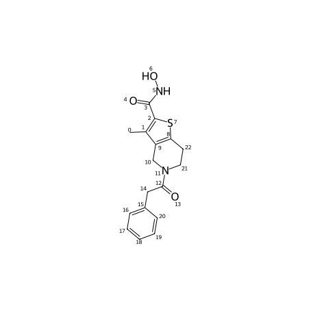 Cc1c(C(=O)NO)sc2c1CN(C(=O)Cc1ccccc1)CC2